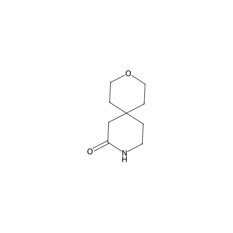 O=C1CC2(CCN1)CCOCC2